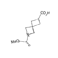 COC(=O)N1CC2(CC(C(=O)O)C2)C1